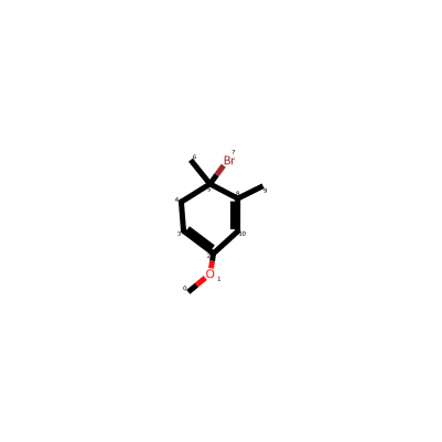 COC1=CCC(C)(Br)C(C)=C1